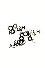 CC(=O)N(C)C[C@@H]1CCOc2cc3c(cc2O1)C[C@H](C[C@@H](C)COc1ccnc2c1[C@H](C)CCC2)C31CCC(Nc2cccc(Cl)c2)(C(=O)O)CC1